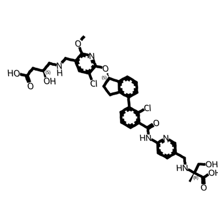 COc1nc(O[C@H]2CCc3c(-c4cccc(C(=O)Nc5ccc(CN[C@](C)(CO)C(=O)O)cn5)c4Cl)cccc32)c(Cl)cc1CNC[C@@H](O)CC(=O)O